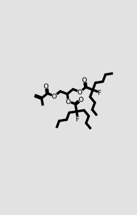 C=C(C)C(=O)OCC(COC(=O)C(F)(CCCC)CCCC)OC(=O)C(F)(CCCC)CCCC